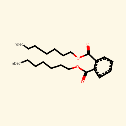 CCCCCCCCCCCCCCCCOC(=O)c1c[c]ccc1C(=O)OCCCCCCCCCCCCCCCC